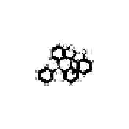 Cc1cccc(O)c1[C@@]1(C)COc2cccc(P(c3ccccc3)c3ccccc3)c21